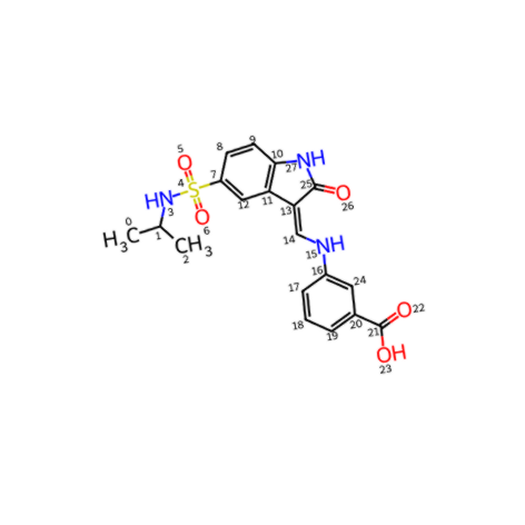 CC(C)NS(=O)(=O)c1ccc2c(c1)/C(=C/Nc1cccc(C(=O)O)c1)C(=O)N2